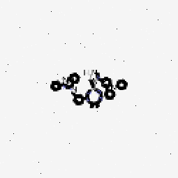 C=C1/C=C\C=C/N([C@@H]2CN2/C(=C\N)C2=CCC3C(=C2)C2C=CCCC2N3C2C=CC=CC2)/C=C\C(C2C=C(C/N=C(\C=C(/NC)c3ccccc3)C3CCCCC3)C=CC2)=C/C1=C